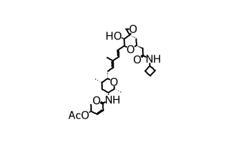 CC(=O)O[C@@H](C)/C=C\C(=O)N[C@@H]1C[C@H](C)[C@H](C/C=C(C)/C=C/C2O[C@H](CC(=O)NC3CCC3)C[C@@]3(CO3)[C@@H]2O)O[C@@H]1C